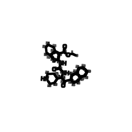 CCOC(=O)c1c(NC(=O)NC(C(=O)c2ccc3ccccc3c2)C2CCNCC2)sc2c1CCCC2